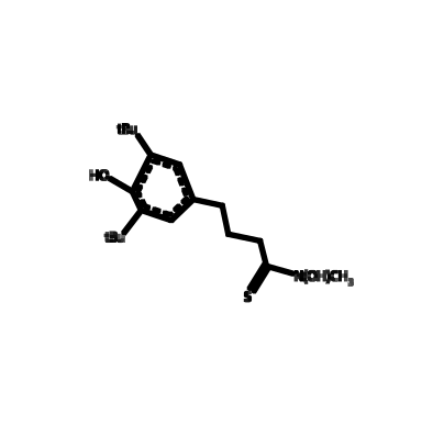 CN(O)C(=S)CCCc1cc(C(C)(C)C)c(O)c(C(C)(C)C)c1